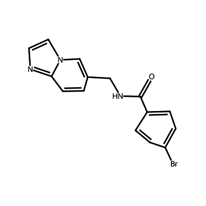 O=C(NCc1ccc2nccn2c1)c1ccc(Br)cc1